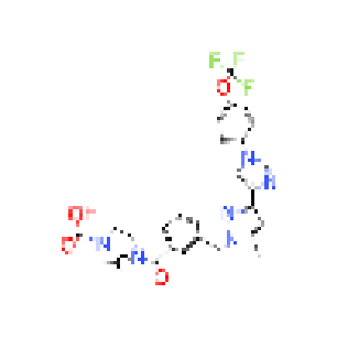 Cc1cc(-c2cn(-c3ccc(OC(F)(F)F)cc3)cn2)nn1Cc1cccc(C(=O)N2CCN(C(=O)O)CC2)c1